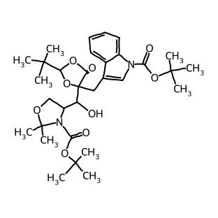 CC(C)(C)OC(=O)N1C(C(O)C2(Cc3cn(C(=O)OC(C)(C)C)c4ccccc34)OC(C(C)(C)C)OC2=O)COC1(C)C